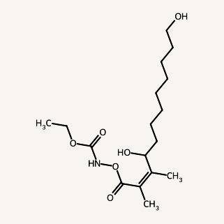 CCOC(=O)NOC(=O)C(C)=C(C)C(O)CCCCCCCCO